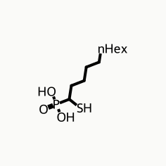 CCCCCCCCCCC(S)P(=O)(O)O